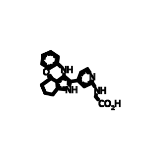 O=C(O)CNc1cc(-c2[nH]c3c(c2Nc2ccccc2)C(=O)CCC3)ccn1